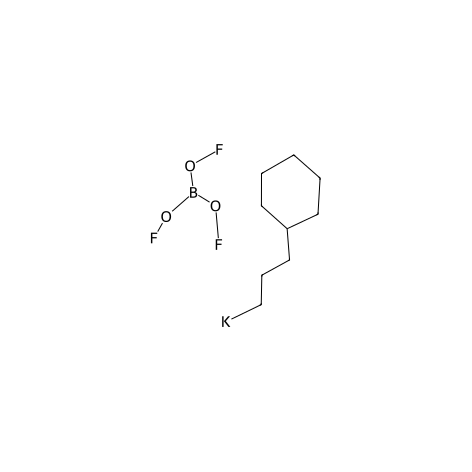 FOB(OF)OF.[K][CH2]CCC1CCCCC1